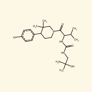 CC(C)C(NC(=O)NCC(C)(N)O)C(=O)N1CCC(c2ccc(Cl)cc2)C(C)(C)C1